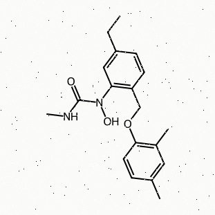 CCc1ccc(COc2ccc(C)cc2C)c(N(O)C(=O)NC)c1